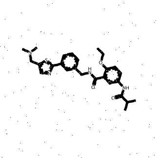 CCOc1ccc(NC(=O)C(C)C)cc1C(=O)NCc1cccc(-c2ncc(CN(C)C)s2)c1